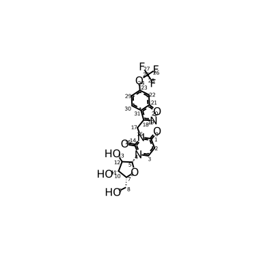 O=c1ccn([C@@H]2O[C@H](CO)[C@H](O)C2O)c(=O)n1Cc1noc2cc(OC(F)(F)F)ccc12